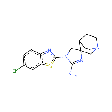 NC1=NC2(CN3CCC2CC3)CN1c1nc2ccc(Cl)cc2s1